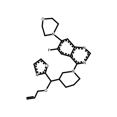 C=CCOC(c1nccs1)C1CCCN(c2ncnc3cc(N4CCOCC4)c(F)cc23)C1